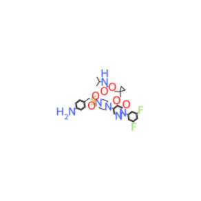 CC(C)NC(=O)OCC1(COc2c(N3CCN(S(=O)(=O)Cc4ccc(N)cc4)CC3)cnn(-c3cc(F)cc(F)c3)c2=O)CC1